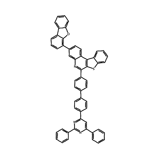 c1ccc(-c2cc(-c3ccc(-c4ccc(-c5nc6cc(-c7cccc8c7oc7ccccc78)ccc6c6c5sc5ccccc56)cc4)cc3)nc(-c3ccccc3)n2)cc1